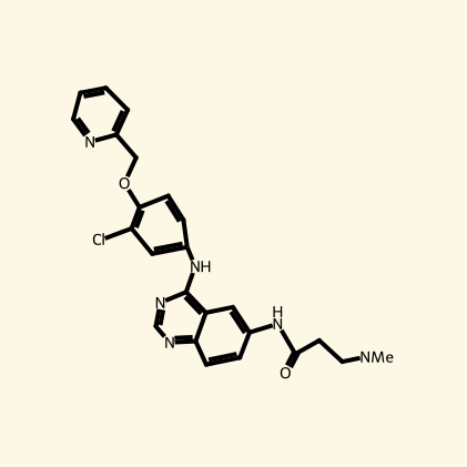 CNCCC(=O)Nc1ccc2ncnc(Nc3ccc(OCc4ccccn4)c(Cl)c3)c2c1